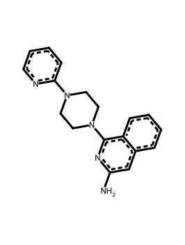 Nc1cc2ccccc2c(N2CCN(c3ccccn3)CC2)n1